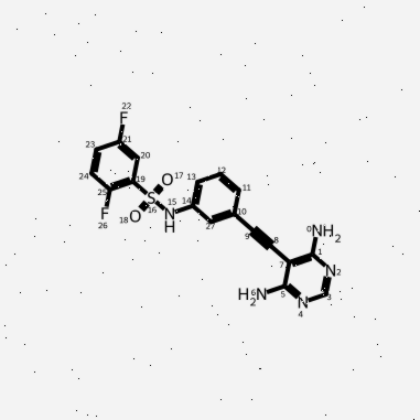 Nc1ncnc(N)c1C#Cc1cccc(NS(=O)(=O)c2cc(F)ccc2F)c1